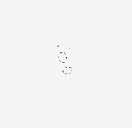 CCc1cc(-c2ccc(C(C)C)cc2)ccc1C(=O)O